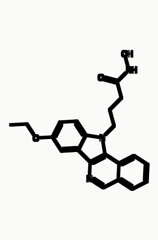 CCOc1ccc2c(c1)c1ncc3ccccc3c1n2CCCC(=O)NO